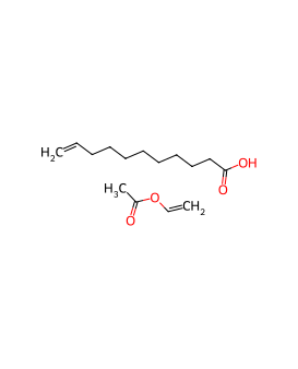 C=CCCCCCCCCC(=O)O.C=COC(C)=O